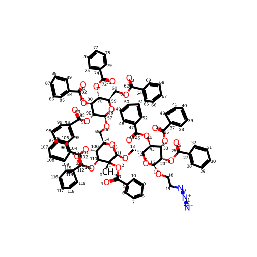 C[C@]1(OC(=O)c2ccccc2)[C@H](OC[C@H]2O[C@@H](OCCN=[N+]=[N-])[C@H](OC(=O)c3ccccc3)[C@@H](OC(=O)c3ccccc3)[C@@H]2OC(=O)c2ccccc2)O[C@H](CO[C@@H]2O[C@H](COC(=O)c3ccccc3)[C@@H](OC(=O)c3ccccc3)[C@H](OC(=O)c3ccccc3)[C@H]2OC(=O)c2ccccc2)[C@@H](OC(=O)c2ccccc2)[C@@H]1OC(=O)c1ccccc1